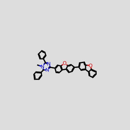 CN1C(c2ccccc2)=NC(c2ccc3c(c2)oc2cc(-c4ccc5oc6ccccc6c5c4)ccc23)=NC1c1ccccc1